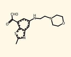 Cc1nc2cc(NCCN3CCOCC3)cc(C(=O)C=O)c2s1